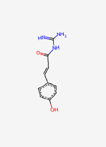 N=C(N)NC(=O)C=Cc1ccc(O)cc1